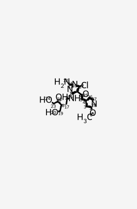 COc1cc2cc(-c3c(Cl)nc(N)nc3NCC[C@H](CO)[C@@H](O)CO)oc2cn1